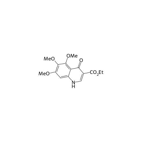 CCOC(=O)c1c[nH]c2cc(OC)c(OC)c(OC)c2c1=O